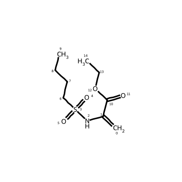 C=C(NS(=O)(=O)CCCC)C(=O)OCC